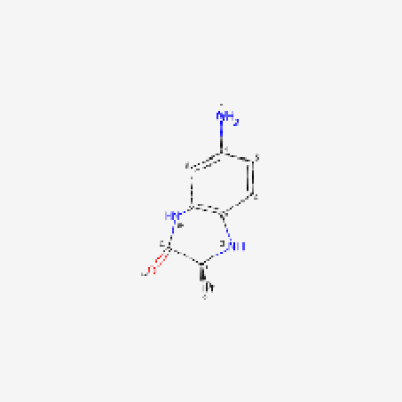 CC(C)[C@@H]1Nc2ccc(N)cc2NC1=O